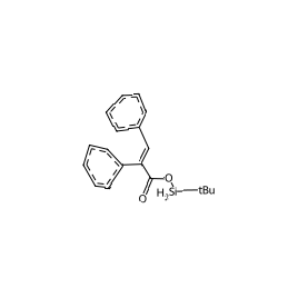 CC(C)(C)[SiH2]OC(=O)C(=Cc1ccccc1)c1ccccc1